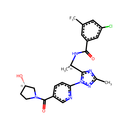 Cc1nc([C@H](C)NC(=O)c2cc(Cl)cc(C(F)(F)F)c2)n(-c2ccc(C(=O)N3CC[C@H](O)C3)cn2)n1